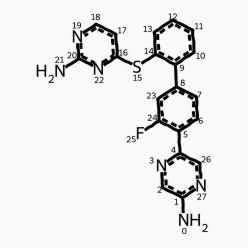 Nc1cnc(-c2ccc(-c3ccccc3Sc3ccnc(N)n3)cc2F)cn1